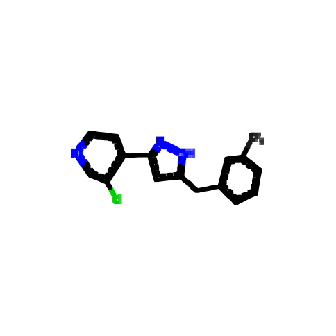 FC(F)(F)c1cccc(Cc2cc(-c3ccncc3Cl)n[nH]2)c1